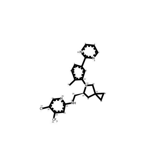 Cc1c[c]c(-c2ncccn2)cc1N1CC2(CC2)C[C@H]1CNc1cc(C(F)(F)F)c(Cl)cn1